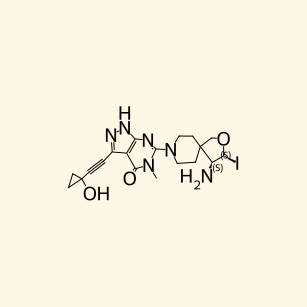 Cn1c(N2CCC3(CC2)CO[C@@H](I)[C@H]3N)nc2[nH]nc(C#CC3(O)CC3)c2c1=O